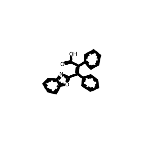 O=C(O)C(=C(c1ccccc1)c1nc2ccccc2o1)c1ccccc1